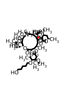 CC[C@H]1OC(=O)[C@H](C)[C@@H](O[C@H]2C[C@@](C)(OC)[C@@H](OCCCCCO)[C@H](C)O2)[C@H](C)[C@@H](O[C@@H]2O[C@H](C)C[C@H](N(C)C)[C@H]2OC(C)=O)[C@](C)(O)C[C@@H](C)CN(C)[C@H](C)C(O)[C@]1(C)OC(C)=O